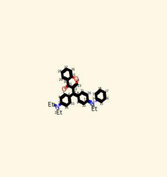 CCN(CC)c1ccc(C(=C2C=CC(=[N+](CC)c3ccccc3)C=C2)c2coc3ccccc3c2=O)cc1